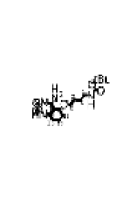 CC(C)(C)OC(=O)NCCCCOc1cccc2c1C(N)=NS(=O)(=O)N2